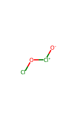 [O-][Cl+]OCl